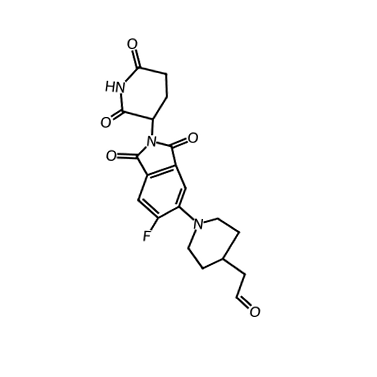 O=CCC1CCN(c2cc3c(cc2F)C(=O)N(C2CCC(=O)NC2=O)C3=O)CC1